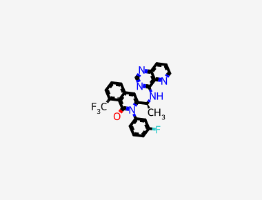 C[C@H](Nc1ncnc2cccnc12)c1cc2cccc(C(F)(F)F)c2c(=O)n1-c1cccc(F)c1